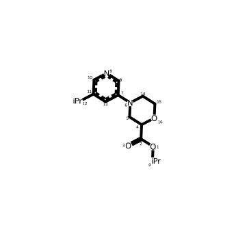 CC(C)OC(=O)C1CN(c2cncc(C(C)C)c2)CCO1